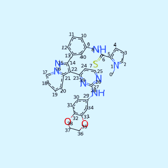 Cn1cccc1C(=S)Nc1cccc(-c2nn3ccccc3c2-c2ccnc(Nc3ccc4c(c3)OCCO4)n2)c1